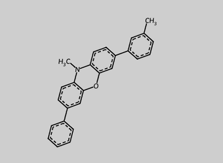 Cc1cccc(-c2ccc3c(c2)Oc2cc(-c4ccccc4)ccc2N3C)c1